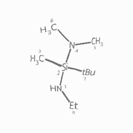 CCN[Si](C)(N(C)C)C(C)(C)C